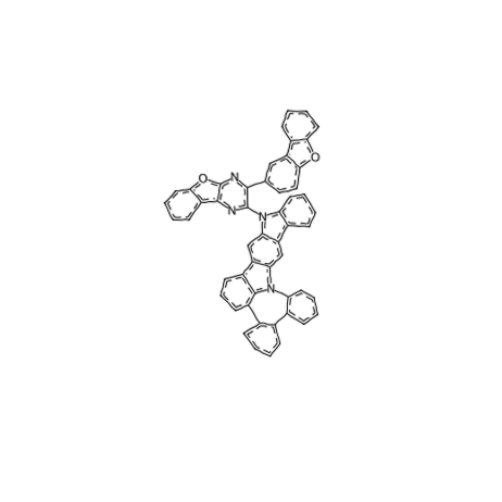 c1ccc2c(c1)-c1ccccc1-n1c3cc4c5ccccc5n(-c5nc6c(nc5-c5ccc7oc8ccccc8c7c5)oc5ccccc56)c4cc3c3cccc-2c31